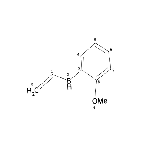 C=CBc1ccccc1OC